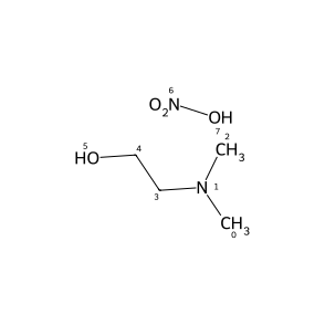 CN(C)CCO.O=[N+]([O-])O